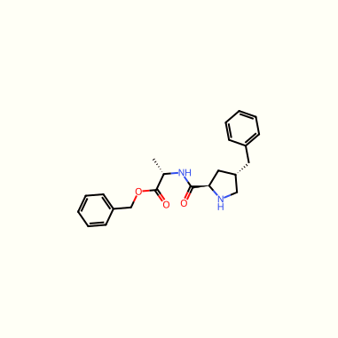 C[C@H](NC(=O)[C@H]1C[C@H](Cc2ccccc2)CN1)C(=O)OCc1ccccc1